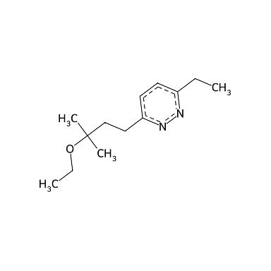 CCOC(C)(C)CCc1ccc(CC)nn1